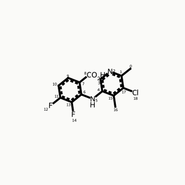 Cc1ncc(Nc2c(C(=O)O)ccc(F)c2F)c(C)c1Cl